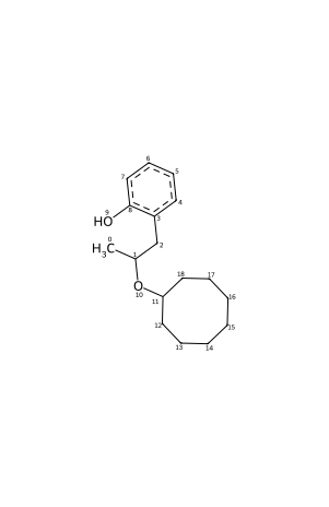 CC(Cc1ccccc1O)OC1CCCCCCC1